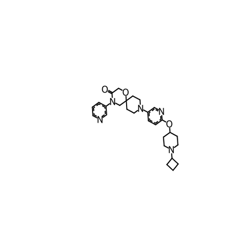 O=C1COC2(CCN(c3ccc(OC4CCN(C5CCC5)CC4)nc3)CC2)CN1c1cccnc1